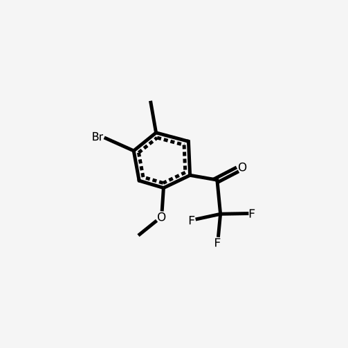 COc1cc(Br)c(C)cc1C(=O)C(F)(F)F